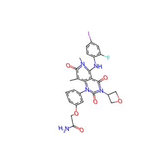 Cc1c(=O)n(C)c(Nc2ccc(I)cc2F)c2c(=O)n(C3COC3)c(=O)n(-c3cccc(OCC(N)=O)c3)c12